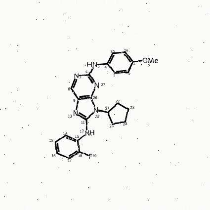 COc1ccc(Nc2ncc3nc(Nc4ccccc4F)n(C4CCCC4)c3n2)cc1